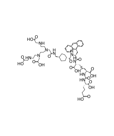 O=C(O)CCC[C@H](NC(=O)N[C@@H](CSC[C@@H](NC(=O)[C@H](Cc1c2ccccc2cc2ccccc12)NC(=O)[C@H]1CC[C@H](CNC(=O)CN(CCNCC(=O)O)CCN(CCNCC(=O)O)CC(=O)O)CC1)C(=O)O)C(=O)O)C(=O)O